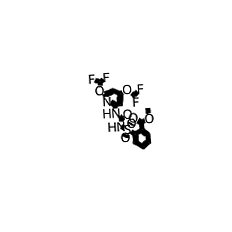 COC(=O)c1ccccc1S(=O)(=O)NC(=O)Nc1cc(OC(F)F)cc(OC(F)F)n1